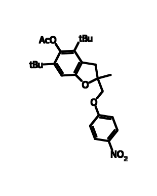 CC(=O)Oc1c(C(C)(C)C)cc2c(c1C(C)(C)C)CC(C)(COc1ccc([N+](=O)[O-])cc1)O2